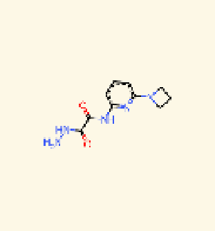 NNC(=O)C(=O)Nc1cccc(N2CCC2)n1